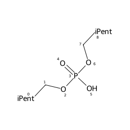 CCCC(C)COP(=O)(O)OCC(C)CCC